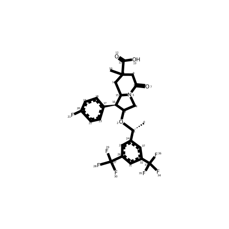 C[C@@H](OC1CN2C(=O)CC(C)(C(=O)O)CC2[C@@H]1c1ccc(F)cc1)c1cc(C(F)(F)F)cc(C(F)(F)F)c1